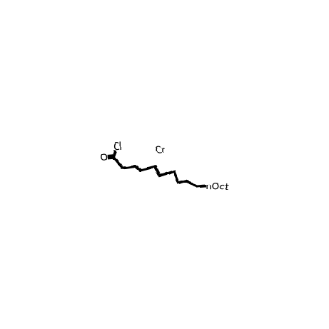 CCCCCCCCCCCCCCCCCC(=O)Cl.[Cr]